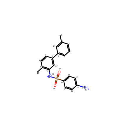 Cc1cccc(-c2ccc(C)c(NS(=O)(=O)c3ccc(N)cc3)c2)c1